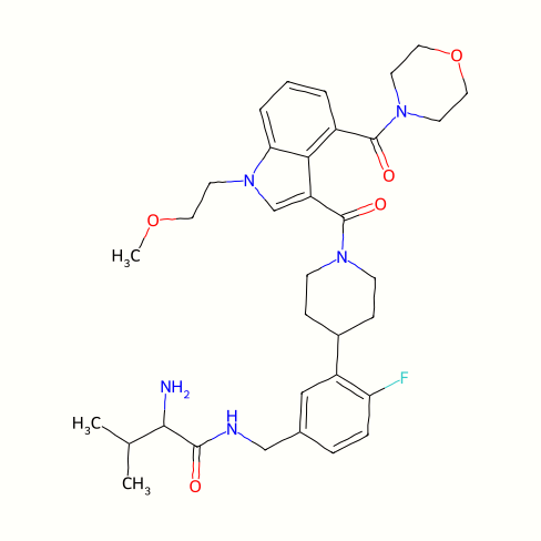 COCCn1cc(C(=O)N2CCC(c3cc(CNC(=O)C(N)C(C)C)ccc3F)CC2)c2c(C(=O)N3CCOCC3)cccc21